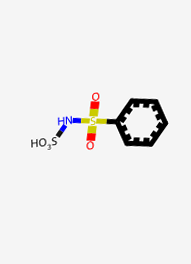 O=S(=O)(O)NS(=O)(=O)c1ccccc1